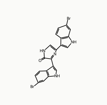 O=c1[nH]cc(-c2c[nH]c3cc(Br)ccc23)nc1-c1c[nH]c2cc(Br)ccc12